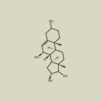 C[C@]12CCC(O)CC1=C[C@H](O)[C@@H]1[C@@H]2CC[C@]2(C)C(O)[C@@H](O)C[C@@H]12